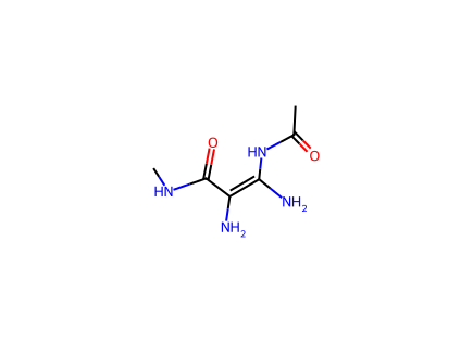 CNC(=O)/C(N)=C(/N)NC(C)=O